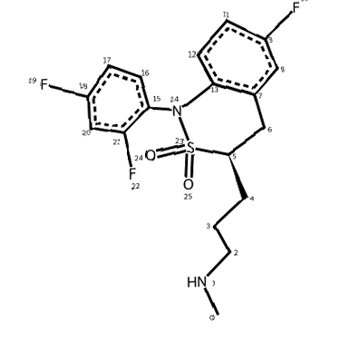 CNCCC[C@@H]1Cc2cc(F)ccc2N(c2ccc(F)cc2F)S1(=O)=O